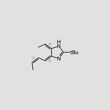 C\C=C/C=c1/nc(C(C)(C)C)[nH]/c1=C/C